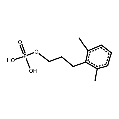 Cc1cccc(C)c1CCCOP(=O)(O)O